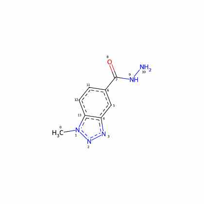 Cn1nnc2cc(C(=O)NN)ccc21